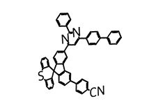 N#Cc1ccc(-c2ccc3c(c2)-c2cc(-c4cc(-c5ccc(-c6ccccc6)cc5)nc(-c5ccccc5)n4)ccc2C32c3ccccc3Sc3ccccc32)cc1